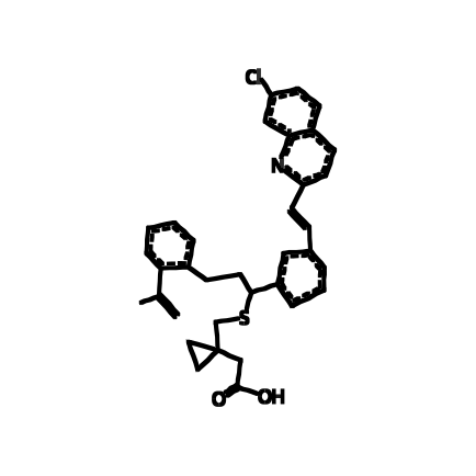 C=C(C)c1ccccc1CCC(SCC1(CC(=O)O)CC1)c1cccc(/C=C/c2ccc3ccc(Cl)cc3n2)c1